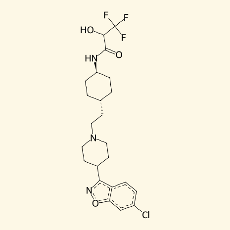 O=C(N[C@H]1CC[C@H](CCN2CCC(c3noc4cc(Cl)ccc34)CC2)CC1)C(O)C(F)(F)F